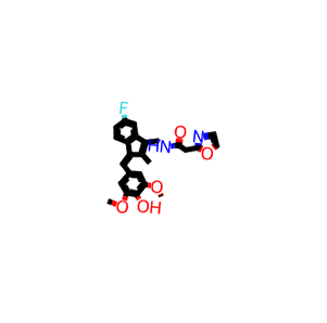 COc1cc(C=C2C(C)=C(CNC(=O)Cc3ncco3)c3cc(F)ccc32)cc(OC)c1O